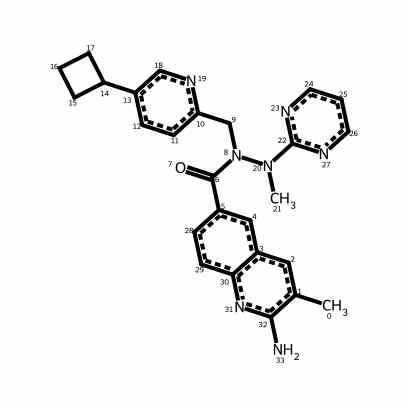 Cc1cc2cc(C(=O)N(Cc3ccc(C4CCC4)cn3)N(C)c3ncccn3)ccc2nc1N